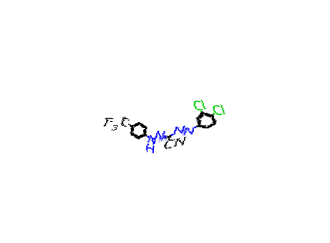 N#CC(/N=N/c1ccc(Cl)c(Cl)c1)=N\Nc1ccc(C(F)(F)F)cc1